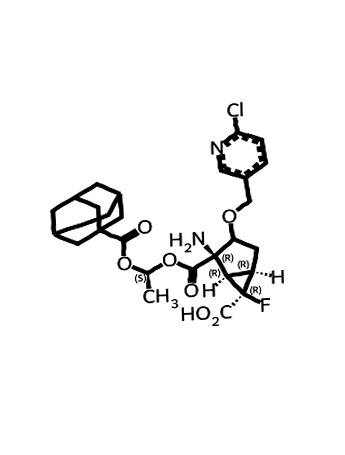 C[C@@H](OC(=O)C12CC3CC(CC(C3)C1)C2)OC(=O)[C@]1(N)C(OCc2ccc(Cl)nc2)C[C@@H]2[C@H]1[C@@]2(F)C(=O)O